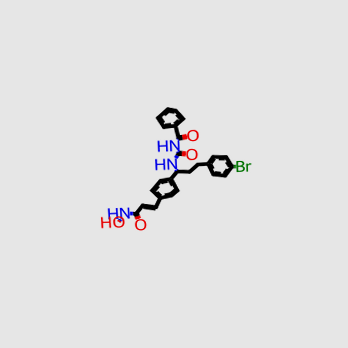 O=C(C=Cc1ccc(C(CCc2ccc(Br)cc2)NC(=O)NC(=O)c2ccccc2)cc1)NO